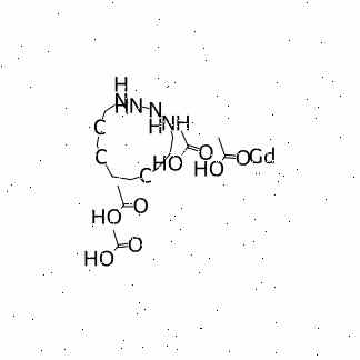 C1CCCCCNNNNCCCC1.CC(=O)O.CC(=O)O.CC(=O)O.CC(=O)O.[Gd]